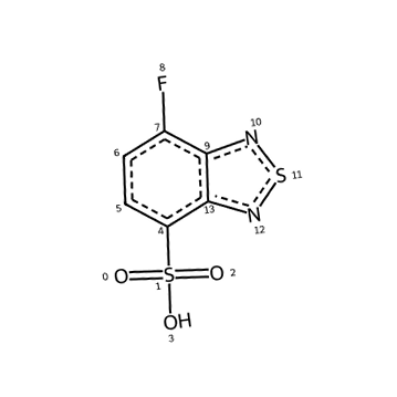 O=S(=O)(O)c1ccc(F)c2nsnc12